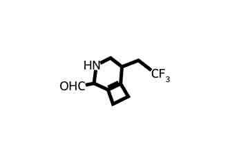 O=CC1NCC(CC(F)(F)F)C2=C1CC2